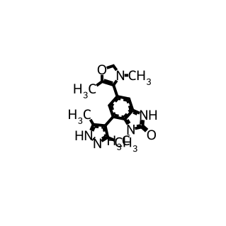 CC1=C(c2cc(-c3c(C)n[nH]c3C)c3c(c2)[nH]c(=O)n3C)N(C)CO1